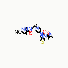 Cc1cc(C#N)nc(C)c1C(=O)NCC[C@@H](C)N1CCC(N(Cc2ccsc2)C(=O)Nc2onc(C)c2C)CC1